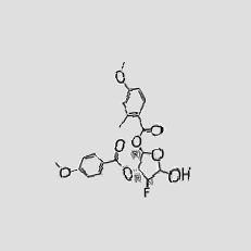 COc1ccc(C(=O)O[C@@H]2[C@@H](OC(=O)c3ccc(OC)cc3C)OC(O)[C@H]2F)cc1